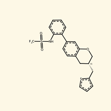 O=S(=O)(Nc1ccccc1-c1ccc2c(c1)OC[C@H](Cc1cccs1)C2)C(F)(F)F